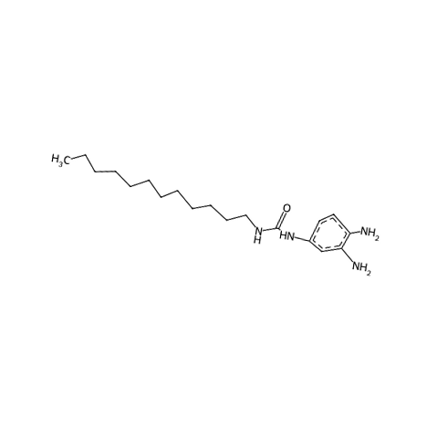 CCCCCCCCCCCCNC(=O)Nc1ccc(N)c(N)c1